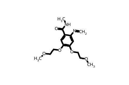 C=Nc1cc(OCCOC)c(OCCOC)cc1C(=O)NC